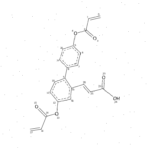 C=CC(=O)Oc1ccc(-c2ccc(OC(=O)C=C)cc2C=CC(=O)O)cc1